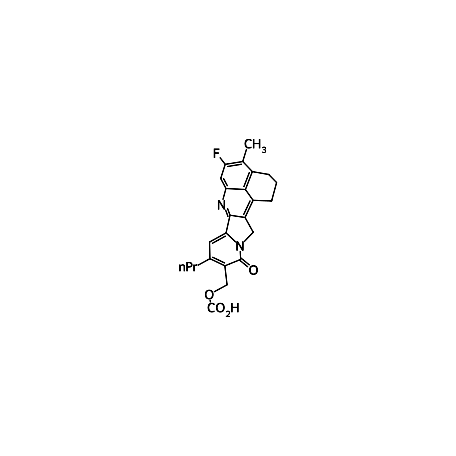 CCCc1cc2n(c(=O)c1COC(=O)O)Cc1c-2nc2cc(F)c(C)c3c2c1CCC3